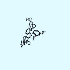 O=C(NCC1CC1)c1cn(-c2c(F)cc(F)cc2F)c2nc(N3CC(O)CC3=O)ccc2c1=O